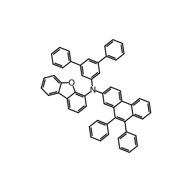 c1ccc(-c2cc(-c3ccccc3)cc(N(c3ccc4c(c3)c(-c3ccccc3)c(-c3ccccc3)c3ccccc34)c3cccc4c3oc3ccccc34)c2)cc1